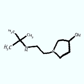 CC(C)(C)NCCN1CCC(O)C1